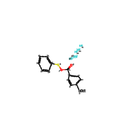 CCCCCCCCc1ccc(C(=O)OSc2ccccc2)cc1.F.F.F.F.F